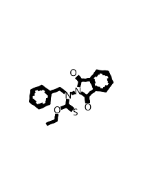 CCOC(=S)N(Cc1ccccc1)N1C(=O)c2ccccc2C1=O